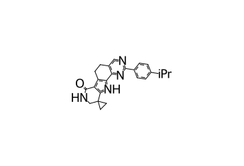 CC(C)c1ccc(-c2ncc3c(n2)-c2[nH]c4c(c2CC3)C(=O)NCC42CC2)cc1